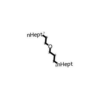 CCCCCCCCCCOCCCCCCCCC